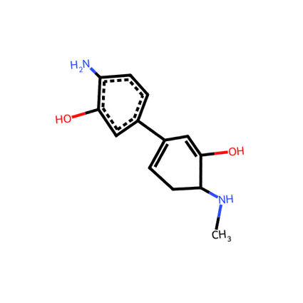 CNC1CC=C(c2ccc(N)c(O)c2)C=C1O